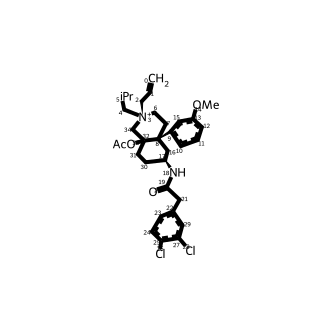 C=CC[N@@+]1(CC(C)C)CC[C@]2(c3cccc(OC)c3)C[C@@H](NC(=O)Cc3ccc(Cl)c(Cl)c3)CCC2(OC(C)=O)C1